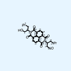 CC(C)CC(CO)N1C(=O)c2ccc3c4c(ccc(c24)C1=O)C(=O)N(C(CN=O)CC(C)C)C3=O